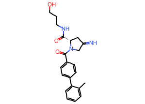 Cc1ccccc1-c1ccc(C(=O)N2CC(=N)C[C@H]2C(=O)NCCCO)cc1